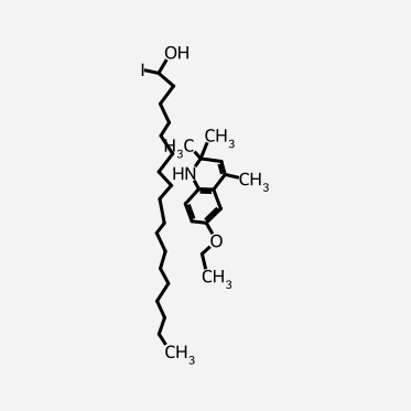 CCCCCCCCCCCCCCCCCC(O)I.CCOc1ccc2c(c1)C(C)=CC(C)(C)N2